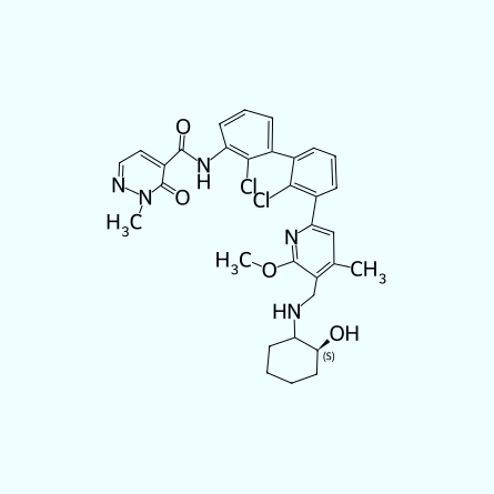 COc1nc(-c2cccc(-c3cccc(NC(=O)c4ccnn(C)c4=O)c3Cl)c2Cl)cc(C)c1CNC1CCCC[C@@H]1O